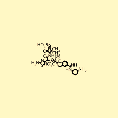 CC1(C)[C@H](NC(=O)/C(=N\O[C@](C)(C(=O)O)[C@H]2CCc3cc(C(=N)N[C@H]4CCC[C@@H](N)C4)ccc3O2)c2csc(N)n2)C(=O)N1OS(=O)(=O)O